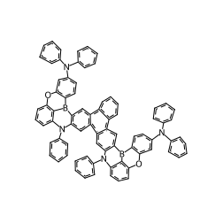 c1ccc(N(c2ccccc2)c2ccc3c(c2)Oc2cccc4c2B3c2cc3c5ccccc5c5cc6c(cc5c3cc2N4c2ccccc2)N(c2ccccc2)c2cccc3c2B6c2ccc(N(c4ccccc4)c4ccccc4)cc2O3)cc1